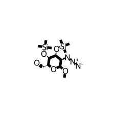 COC1O[C@H](C=O)[C@H](O[Si](C)(C)C)[C@H](O[Si](C)(C)C)[C@H]1N=[N+]=[N-]